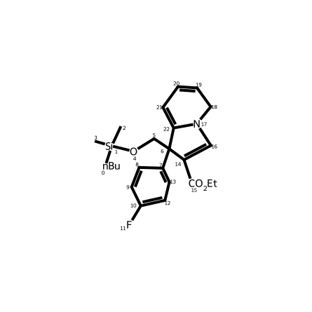 CCCC[Si](C)(C)OCC1(c2ccc(F)cc2)C(C(=O)OCC)=CN2CC=CC=C21